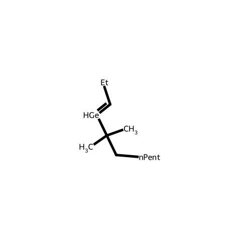 [CH2]C[CH]=[GeH][C](C)(C)CCCCCC